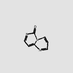 O=c1nccc2ncccn12